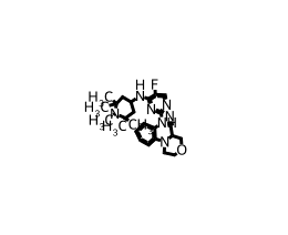 CN1C(C)(C)CC(Nc2nc(Nc3ccccc3N3CCOCC3C#N)ncc2F)CC1(C)C